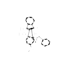 COc1ccc([C@@]2(O)C[C@H]3c4ccccc4[C@@H]2C[C@@H]3CN(C)Cc2ccccc2)cc1